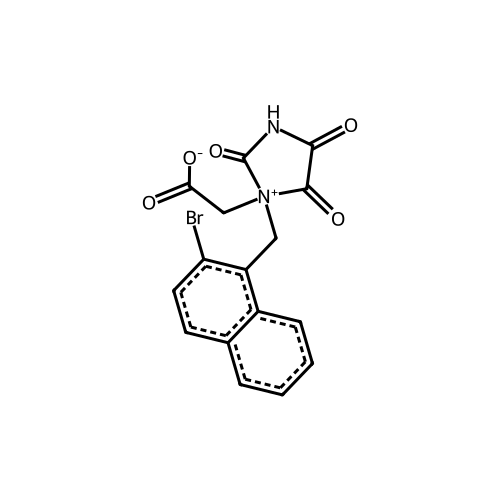 O=C([O-])C[N+]1(Cc2c(Br)ccc3ccccc23)C(=O)NC(=O)C1=O